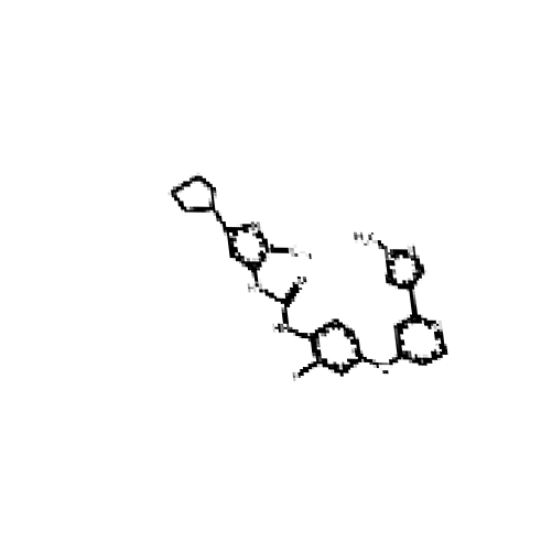 Cn1cc(-c2cc(Oc3ccc(NC(=O)Nc4cc(C5CCCC5)nn4C)c(F)c3)ccn2)cn1